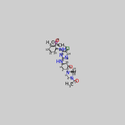 CC(=O)N1CCN2c3ccc(Nc4ncc(Cl)c(Nc5ccccc5P(C)(C)=O)n4)cc3OC[C@@H]2C1